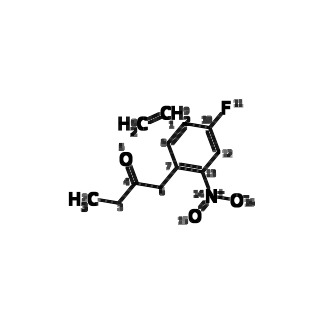 C=C.CCC(=O)Cc1ccc(F)cc1[N+](=O)[O-]